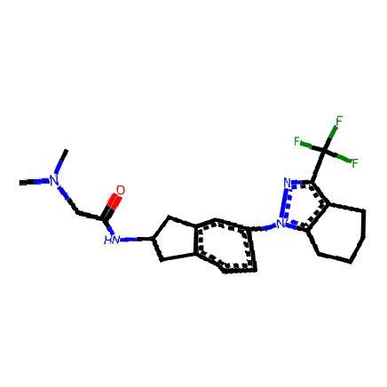 CN(C)CC(=O)NC1Cc2ccc(-n3nc(C(F)(F)F)c4c3CCCC4)cc2C1